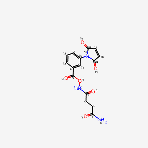 NC(=O)CCC(=O)NOC(=O)c1cccc(N2C(=O)C=CC2=O)c1